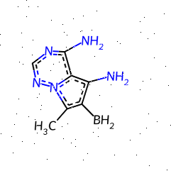 Bc1c(N)c2c(N)ncnn2c1C